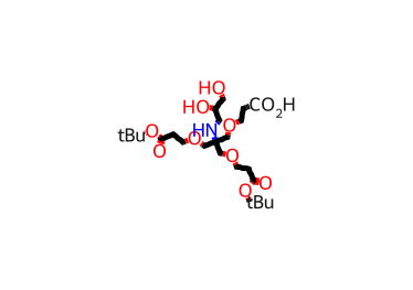 CC(C)(C)OC(=O)CCOCC(COCCC(=O)O)(COCCC(=O)OC(C)(C)C)NCC(O)CO